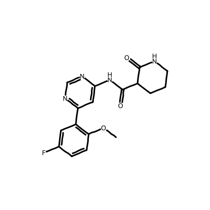 COc1ccc(F)cc1-c1cc(NC(=O)C2CCCNC2=O)ncn1